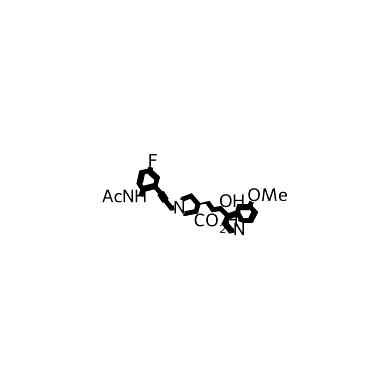 COc1ccc2nccc([C@@H](O)CC[C@@H]3CCN(CC#Cc4cc(F)ccc4NC(C)=O)C[C@@H]3C(=O)O)c2c1